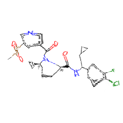 CC[C@@H]1CC[C@H](C(=O)NC(c2ccc(Cl)c(F)c2)C2CC2)N1C(=O)c1cncc(S(C)(=O)=O)c1